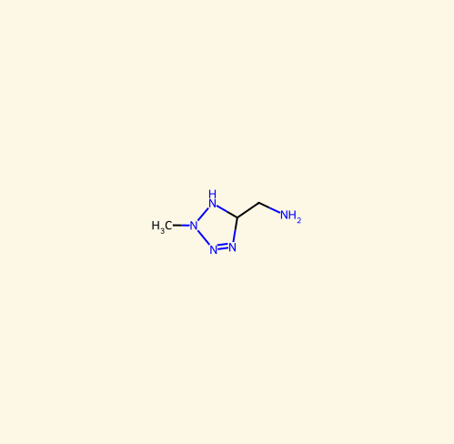 CN1N=NC(CN)N1